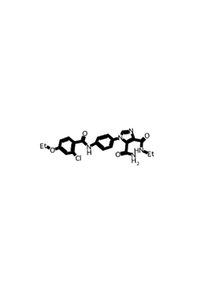 CCNC(=O)c1ncn(-c2ccc(NC(=O)c3ccc(OCC)cc3Cl)cc2)c1C(N)=O